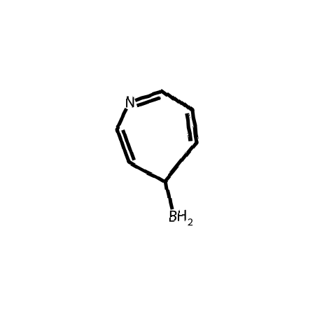 BC1C=CC=NC=C1